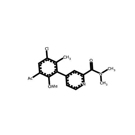 COc1c(C(C)=O)cc(Cl)c(C)c1-c1ccnc(C(=O)N(C)C)c1